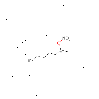 CC(C)CCCC[C@H](C)O[N+](=O)[O-]